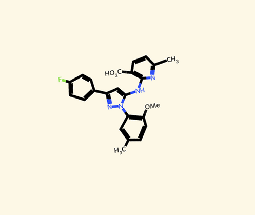 COc1ccc(C)cc1-n1nc(-c2ccc(F)cc2)cc1Nc1nc(C)ccc1C(=O)O